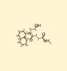 NC(=O)CCC(=O)N(CCO)c1cccc2ccccc12